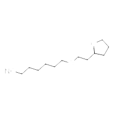 N#CCCCCCCOCCC1CCCO1